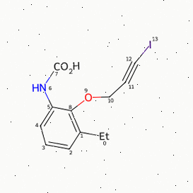 CCc1cccc(NC(=O)O)c1OCC#CI